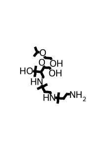 CC(C)OC(CO)OC(CO)C(CNC(C)(C)CCNC(C)(C)CCN)C(C)(C)O